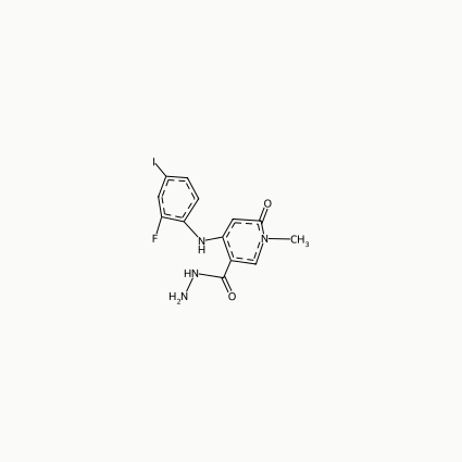 Cn1cc(C(=O)NN)c(Nc2ccc(I)cc2F)cc1=O